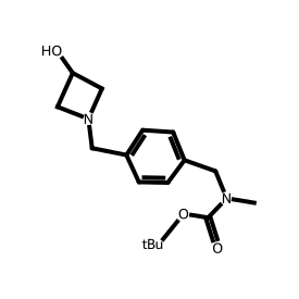 CN(Cc1ccc(CN2CC(O)C2)cc1)C(=O)OC(C)(C)C